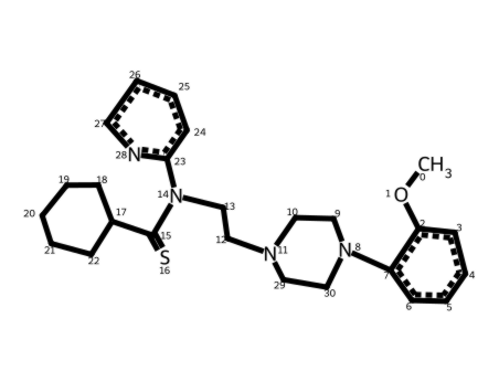 COc1ccccc1N1CCN(CCN(C(=S)C2CCCCC2)c2ccccn2)CC1